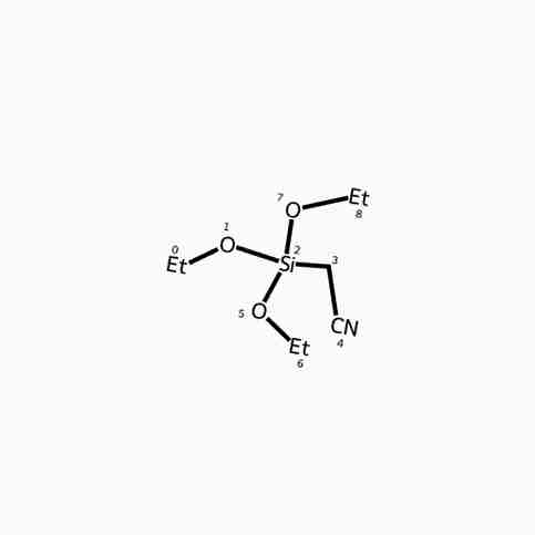 CCO[Si](CC#N)(OCC)OCC